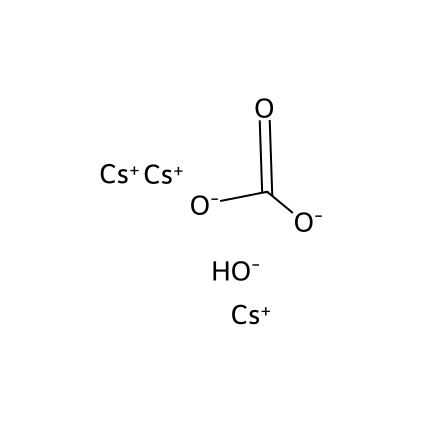 O=C([O-])[O-].[Cs+].[Cs+].[Cs+].[OH-]